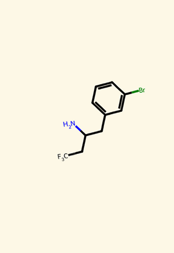 NC(Cc1cccc(Br)c1)CC(F)(F)F